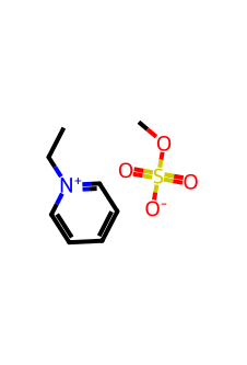 CC[n+]1ccccc1.COS(=O)(=O)[O-]